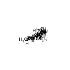 CNC(=O)CN1C[C@@H]2C[C@H]1C[C@H]2c1sc2[nH]c(-c3cn4ncnc4c(C)c3C)c(C(C)C)c2c1C